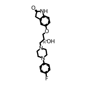 O=C1Cc2cc(OC[C@H](O)CN3CCN(c4ccc(F)cc4)CC3)ccc2N1